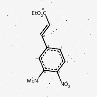 CCOC(=O)/C=C/c1ccc([N+](=O)[O-])c(NC)c1